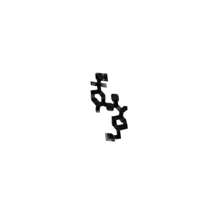 CC1=CCC(C(C)(C)O)CC1OC(=O)C(C)c1ccc(CC(C)C)cc1